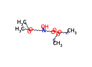 CC/C=C\CCCCOC(CCC(=O)OCCCCCCN(CCO)CCCCCCCCCOC(=O)C(CCCC)CCCCCC)OCCCC/C=C\CC